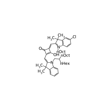 CCCCCCCCC(CCCCCC)CN1/C(=C\C2=C(O)C(=C\C3=[N+](CCCCCCCC)c4ccc(Cl)cc4C3(C)C)/C2=O)C(C)(C)c2ccccc21